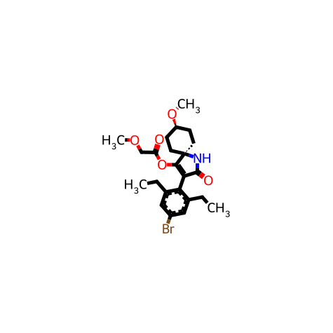 CCc1cc(Br)cc(CC)c1C1=C(OC(=O)COC)[C@]2(CC[C@H](OC)CC2)NC1=O